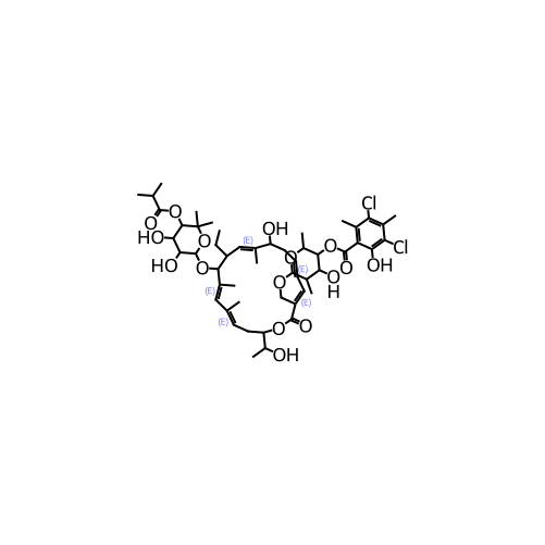 CCC1/C=C(\C)C(O)C/C=C/C=C(\COC2OC(C)C(OC(=O)c3c(C)c(Cl)c(C)c(Cl)c3O)C(O)C2C)C(=O)OC(C(C)O)C/C=C(C)/C=C(\C)C1OC1OC(C)(C)C(OC(=O)C(C)C)C(O)C1O